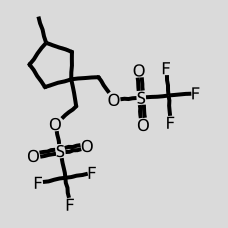 CC1CCC(COS(=O)(=O)C(F)(F)F)(COS(=O)(=O)C(F)(F)F)C1